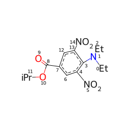 CCN(CC)c1c([N+](=O)[O-])cc(C(=O)OC(C)C)cc1[N+](=O)[O-]